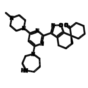 CN1CCN(c2cc(N3CCCNCC3)nc(-c3noc4c3CCC[C@@]43CCCCC3=O)n2)CC1